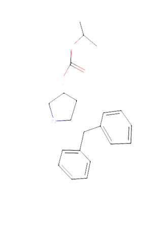 CC(C)OC(=O)O[C@H]1CN[C@@H](C(c2ccccc2)c2ccccc2)C1